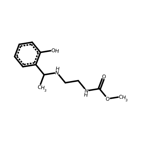 COC(=O)NCCNC(C)c1ccccc1O